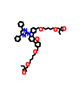 CCC1(COCCCCCOCc2ccc3oc4c(ccc5c4c4cc(COCCCCCOCC6(CC)COC6)ccc4n5-c4nc(-c5ccccc5)cc(-c5ccccc5)n4)c3c2)COC1